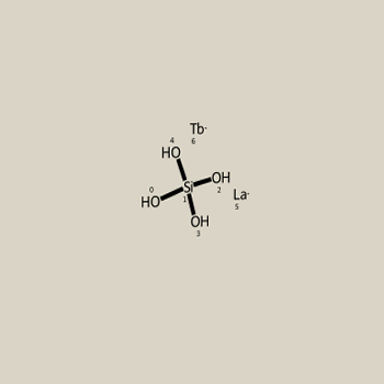 O[Si](O)(O)O.[La].[Tb]